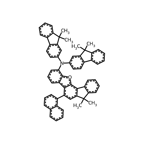 CC1(C)c2ccccc2-c2ccc(N(c3ccc4c(c3)C(C)(C)c3ccccc3-4)c3cccc4c3oc3c5c(cc(-c6cccc7ccccc67)c34)C(C)(C)c3ccccc3-5)cc21